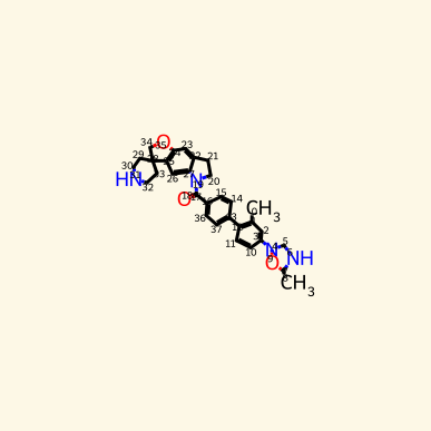 Cc1cc(N2CNC(C)O2)ccc1-c1ccc(C(=O)N2CCc3cc4c(cc32)C2(CCNCC2)CO4)cc1